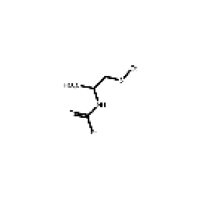 CCSCC(NC(=O)CC)C(=O)O